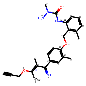 C#CCO/C(NC)=C(\C)C(=N)c1ccc(OCc2c(C)cccc2NC(=O)N(C)N)c(C)c1